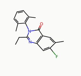 CCc1nc2cc(F)c(C)cc2c(=O)n1-c1c(C)cccc1C